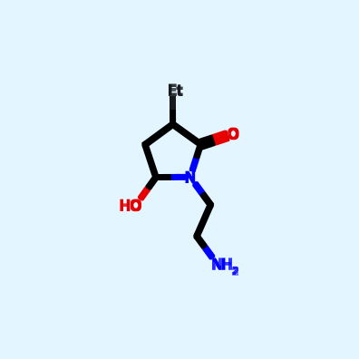 CCC1CC(O)N(CCN)C1=O